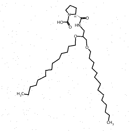 CCCCCCCCCCCCCCOCC(CNC(=O)[C@H]1CCCN1C(=O)O)OCCCCCCCCCCCCCC